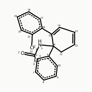 CCC(=O)NC1(c2ccccc2)CC=CC=C1c1ccccc1C(F)(F)F